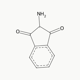 N[C]1C(=O)c2ccccc2C1=O